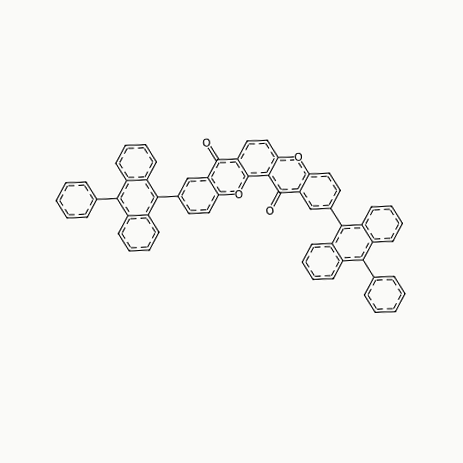 O=c1c2cc(-c3c4ccccc4c(-c4ccccc4)c4ccccc34)ccc2oc2c1ccc1oc3ccc(-c4c5ccccc5c(-c5ccccc5)c5ccccc45)cc3c(=O)c12